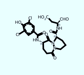 O=C[C@H](CC(=O)O)NC(=O)[C@@H]1CCCN2C(=O)CC[C@H](NC(=O)c3cc(Cl)c(O)c(Cl)c3)C(=O)N12